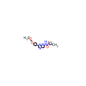 C=CCN(S)C(=O)Nc1ccc2ncc(-c3ccc(OCCOC)cc3)nc2n1